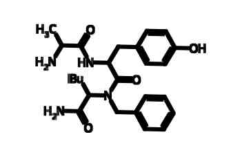 CCC(C)C(C(N)=O)N(Cc1ccccc1)C(=O)C(Cc1ccc(O)cc1)NC(=O)C(C)N